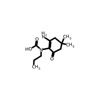 CCCN(C(=O)O)C1=C(N)CC(C)(C)CC1=O